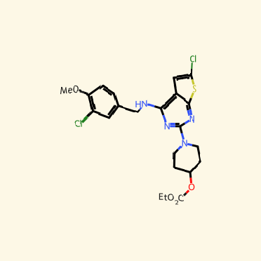 CCOC(=O)OC1CCN(c2nc(NCc3ccc(OC)c(Cl)c3)c3cc(Cl)sc3n2)CC1